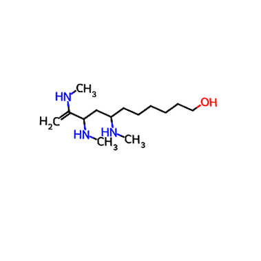 C=C(NC)C(CC(CCCCCCO)NC)NC